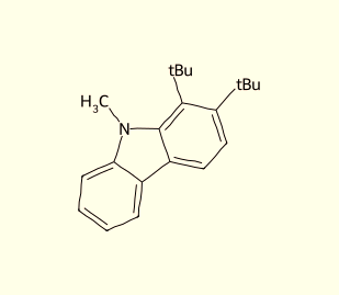 Cn1c2ccccc2c2ccc(C(C)(C)C)c(C(C)(C)C)c21